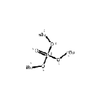 CCCCOP(=O)(OCCCC)OC(C)CC